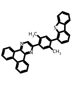 Cc1cc(-c2cccc3c2sc2ccccc23)c(C)cc1-c1cnc2c3ccccc3c3ccccc3c2n1